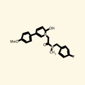 COc1ccc(C2=CN(CC(=O)N(C)Cc3ccc(F)cc3)C(O)C=C2)cc1